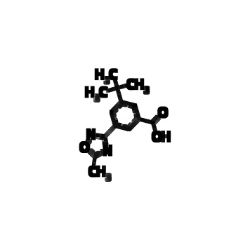 Cc1nc(-c2cc(C(=O)O)cc(C(C)(C)C)c2)no1